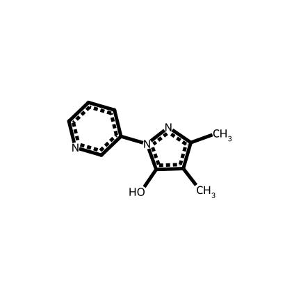 Cc1nn(-c2cccnc2)c(O)c1C